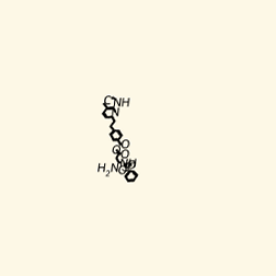 N[C@H](CC(=O)OC(=O)c1ccc(CCc2ccc3c(n2)NCCC3)cc1)NS(=O)(=O)c1ccccc1